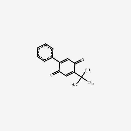 CC(C)(C)C1=CC(=O)C(c2ccccc2)=CC1=O